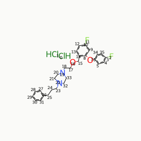 Cl.Cl.Fc1ccc(Oc2cc(F)ccc2COCCN2CCN(CCCc3ccccc3)CC2)cc1